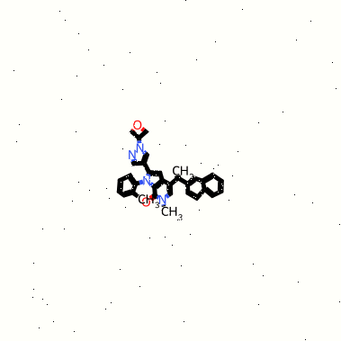 C=C(c1ccc2ccccc2c1)c1cn(C)c(=O)c2c1cc(-c1cnn(C3COC3)c1)n2-c1ccccc1C